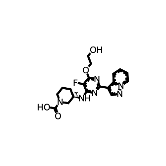 O=C(O)N1CCC[C@@H](Nc2nc(-c3cnn4ccccc34)nc(OCCO)c2F)C1